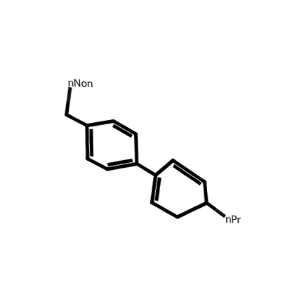 CCCCCCCCCCc1ccc(C2=CCC(CCC)C=C2)cc1